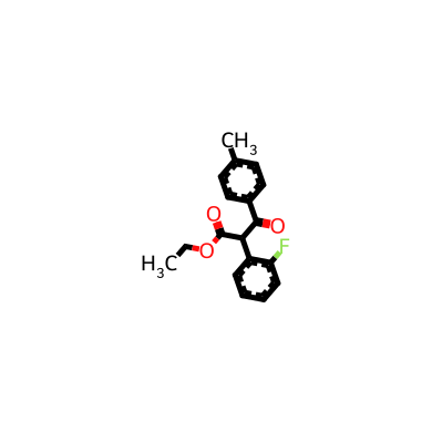 CCOC(=O)C(C(=O)c1ccc(C)cc1)c1ccccc1F